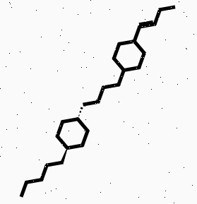 CCC=CC1CCC(CCCC[C@H]2CC[C@H](CCCCC)CC2)CC1